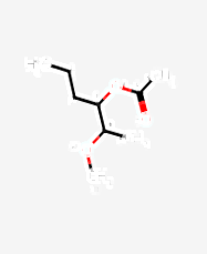 CCCC(OC(C)=O)C(C)OC